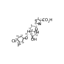 O=C(O)c1csc([C@H]2CC[C@@H]3[C@@H](COc4ccc(Cl)c(F)c4)[C@H](O)C[C@@H]3O2)n1